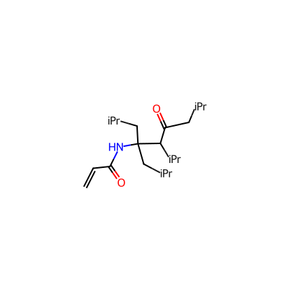 C=CC(=O)NC(CC(C)C)(CC(C)C)C(C(=O)CC(C)C)C(C)C